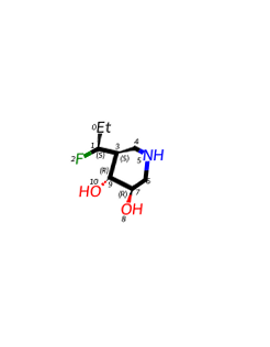 CC[C@H](F)[C@H]1CNC[C@@H](O)[C@@H]1O